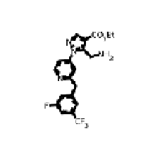 CCOC(=O)c1cnn(-c2ccnc(Cc3cc(F)cc(C(F)(F)F)c3)c2)c1CN